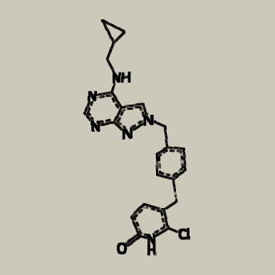 O=c1ccc(Cc2ccc(Cn3cc4c(NCC5CC5)ncnc4n3)cc2)c(Cl)[nH]1